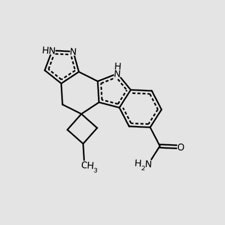 CC1CC2(Cc3c[nH]nc3-c3[nH]c4ccc(C(N)=O)cc4c32)C1